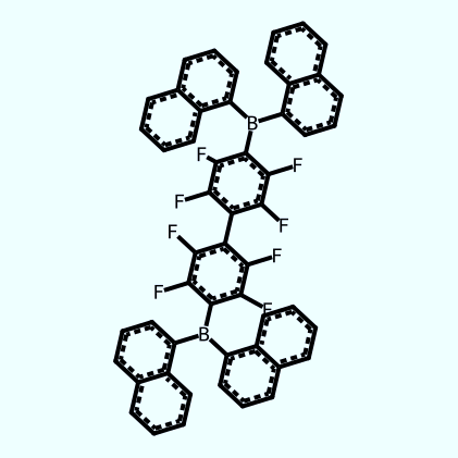 Fc1c(F)c(-c2c(F)c(F)c(B(c3cccc4ccccc34)c3cccc4ccccc34)c(F)c2F)c(F)c(F)c1B(c1cccc2ccccc12)c1cccc2ccccc12